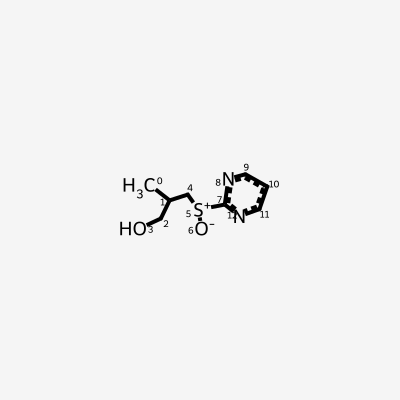 CC(CO)C[S+]([O-])c1ncccn1